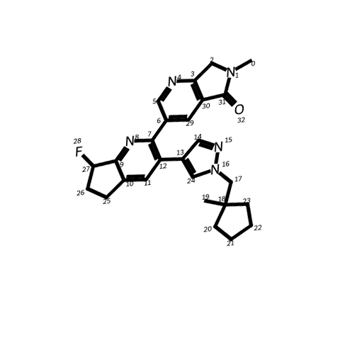 CN1Cc2ncc(-c3nc4c(cc3-c3cnn(CC5(C)CCCC5)c3)CCC4F)cc2C1=O